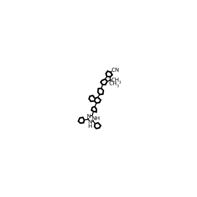 CC1(C)c2cc(C#N)ccc2-c2ccc(-c3ccc(-c4ccc(-c5ccc(C6N=C(c7ccccc7)NC(c7ccccc7)N6)cc5)c5ccccc45)cc3)cc21